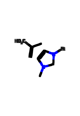 C=C(C)C(=O)O.CCN1C=CN(C)C1